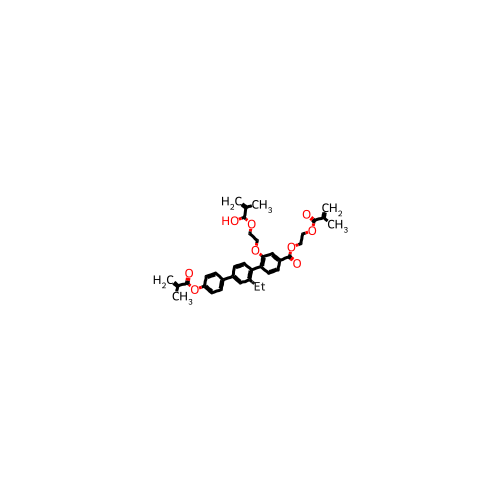 C=C(C)C(=O)OCCOC(=O)c1ccc(-c2ccc(-c3ccc(OC(=O)C(=C)C)cc3)cc2CC)c(OCCOC(O)C(=C)C)c1